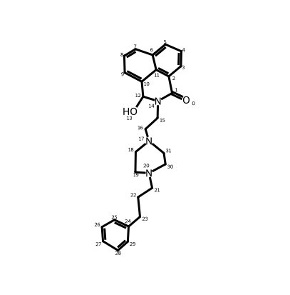 O=C1c2cccc3cccc(c23)C(O)N1CCN1CCN(CCCc2ccccc2)CC1